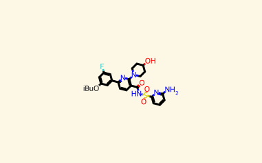 CC(C)COc1cc(F)cc(-c2ccc(C(=O)NS(=O)(=O)c3cccc(N)n3)c(N3CCC(O)CC3)n2)c1